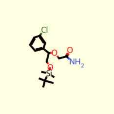 CC(C)(C)[Si](C)(C)OCC(OCC(N)=O)c1cccc(Cl)c1